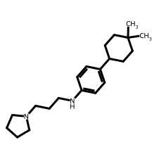 CC1(C)CCC(c2ccc(NCCCN3CCCC3)cc2)CC1